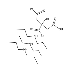 CCCNCCC.CCCNCCC.CCCNCCC.O=C(O)CC(O)(CC(=O)O)C(=O)O